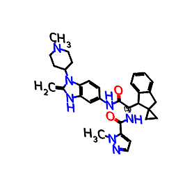 C=C1Nc2cc(NC(=O)[C@@H](NC(=O)c3ccnn3C)C3c4ccccc4CC34CC4)ccc2N1C1CCN(C)CC1